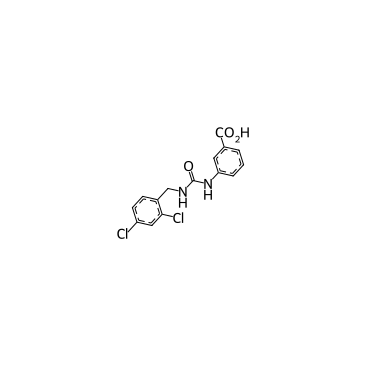 O=C(NCc1ccc(Cl)cc1Cl)Nc1cccc(C(=O)O)c1